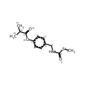 CSC(=O)NCc1ccc(OC(=O)C(C)C)cc1